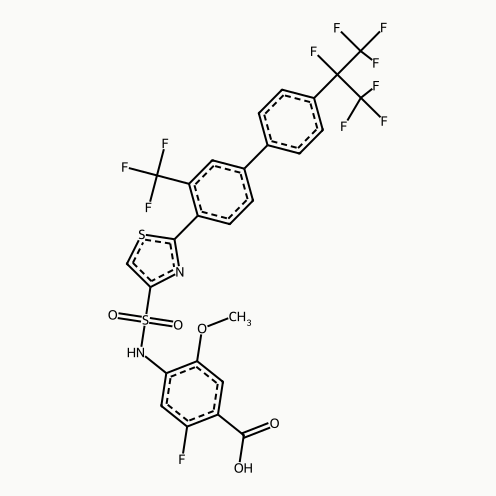 COc1cc(C(=O)O)c(F)cc1NS(=O)(=O)c1csc(-c2ccc(-c3ccc(C(F)(C(F)(F)F)C(F)(F)F)cc3)cc2C(F)(F)F)n1